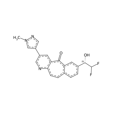 Cn1cc(-c2cnc3ccc4ccc([C@H](O)C(F)F)cc4c(=O)c3c2)cn1